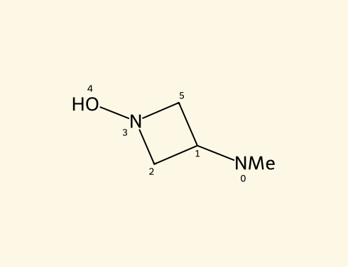 CNC1CN(O)C1